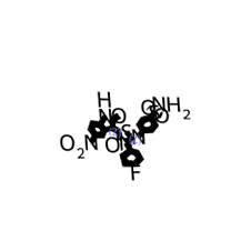 NS(=O)(=O)c1ccc(/N=C2\S/C(=C3\C(=O)Nc4ccc([N+](=O)[O-])cc43)C(=O)N2c2ccc(F)cc2)cc1